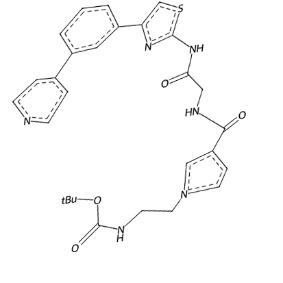 CC(C)(C)OC(=O)NCCn1ccc(C(=O)NCC(=O)Nc2nc(-c3cccc(-c4ccncc4)c3)cs2)c1